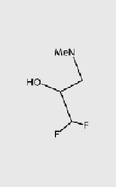 CNCC(O)C(F)F